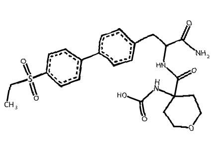 CCS(=O)(=O)c1ccc(-c2ccc(CC(NC(=O)C3(NC(=O)O)CCOCC3)C(N)=O)cc2)cc1